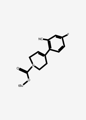 CC(C)(C)OC(=O)N1CC=C(c2ccc(F)cc2C#N)CC1